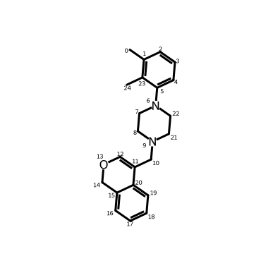 Cc1cccc(N2CCN(CC3=COCc4ccccc43)CC2)c1C